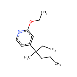 CCCC(C)(CC)c1ccnc(OCC)c1